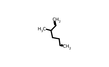 C=CCC[C](C)C=C